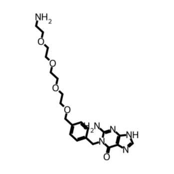 NCCOCCOCCOCCOCc1ccc(Cn2c(N)nc3[nH]cnc3c2=O)cc1